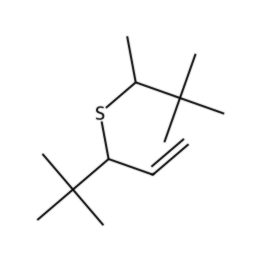 C=CC(SC(C)C(C)(C)C)C(C)(C)C